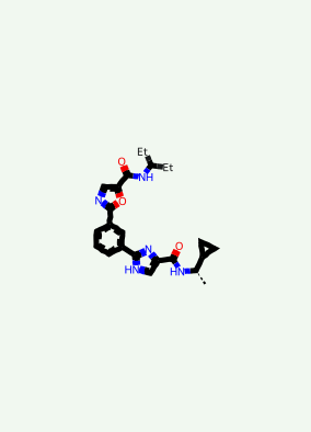 CCC(CC)NC(=O)c1cnc(-c2cccc(-c3nc(C(=O)N[C@@H](C)C4CC4)c[nH]3)c2)o1